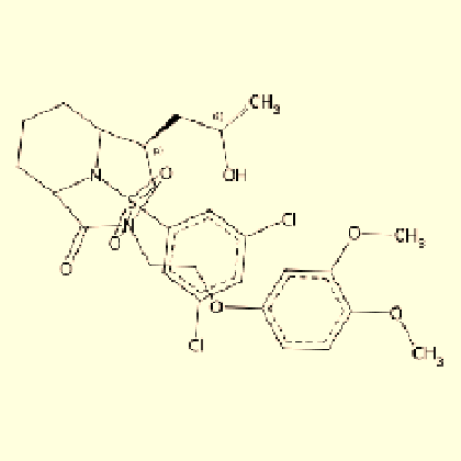 COc1ccc(OCCN2C[C@H](C[C@H](C)O)C3CCCC(C2=O)N3S(=O)(=O)c2cc(Cl)cc(Cl)c2)cc1OC